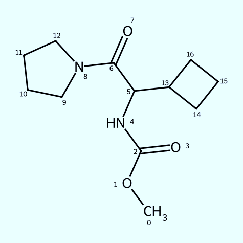 COC(=O)NC(C(=O)N1CCCC1)C1CCC1